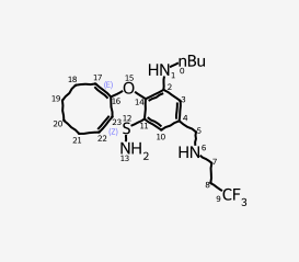 CCCCNc1cc(CNCCC(F)(F)F)cc(SN)c1OC1=C/CCCC/C=C\1